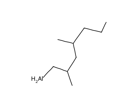 CCCC(C)CC(C)[CH2][AlH2]